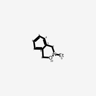 CCN1Cc2ccccc2CO1